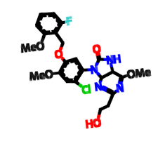 COC1=NC(CCO)=NC2C1NC(=O)N2c1cc(OCc2c(F)cccc2OC)c(OC)cc1Cl